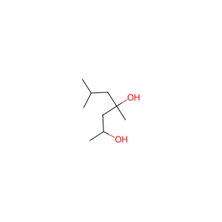 CC(C)CC(C)(O)CC(C)O